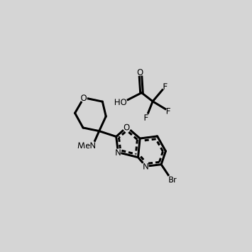 CNC1(c2nc3nc(Br)ccc3o2)CCOCC1.O=C(O)C(F)(F)F